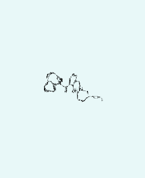 CC1CCCN(Cc2cccc(Nc3ncnc4ccccc34)c2O)C1